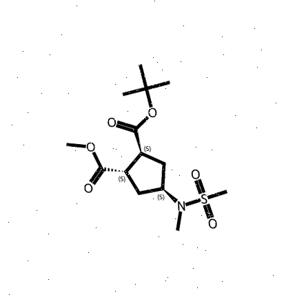 COC(=O)[C@H]1C[C@H](N(C)S(C)(=O)=O)C[C@@H]1C(=O)OC(C)(C)C